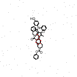 Cc1c(Cl)c(C(=O)N(c2ccccc2)c2ccc(O)cc2)nn1-c1cc2c(cc1C(=O)N1Cc3ccccc3C[C@H]1CN1CCOCC1)CN(C(=O)Oc1ccccc1)CC2